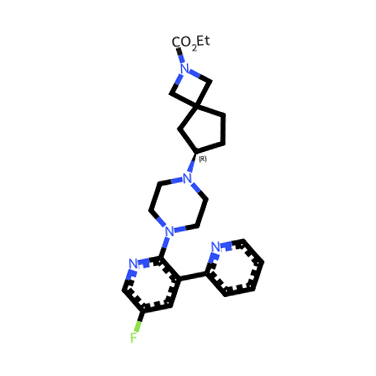 CCOC(=O)N1CC2(CC[C@@H](N3CCN(c4ncc(F)cc4-c4ccccn4)CC3)C2)C1